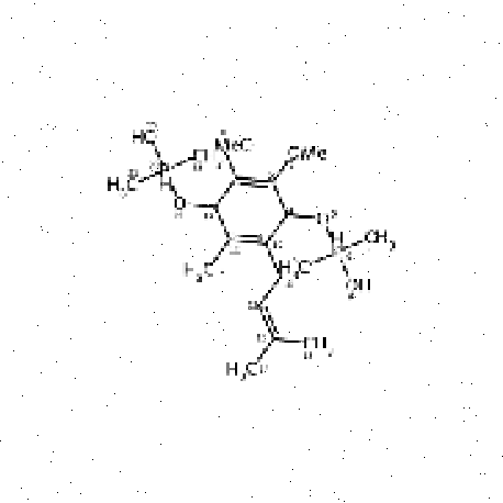 COC1=C(OC)C(O[PH](C)(C)O)C(CC=C(C)C)=C(C)C1O[PH](C)(C)O